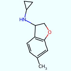 Cc1ccc2c(c1)OCC2NC1CC1